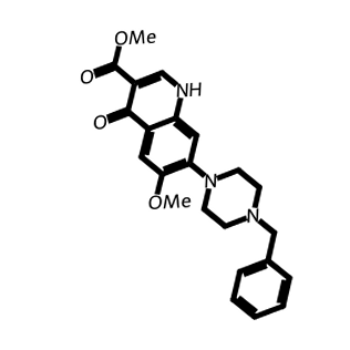 COC(=O)c1c[nH]c2cc(N3CCN(Cc4ccccc4)CC3)c(OC)cc2c1=O